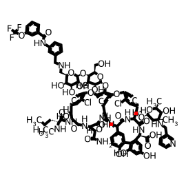 CN[C@H](CC(C)C)C(=O)NC1C(=O)N[C@@H](CC(N)=O)C(=O)N[C@H]2C(=O)N[C@H]3C(=O)N[C@H](C(=O)N[C@@H](C(=O)O)c4cc(O)cc(O)c4-c4cc3ccc4O)[C@H](O[C@H]3C[C@](C)(NCc4cccnc4)[C@@H](O)[C@H](C)O3)c3ccc(c(Cl)c3)Oc3cc2cc(c3O[C@@H]2O[C@H](CO)[C@@H](O[C@@H]3O[C@H](CNCc4cccc(NC(=O)c5cccc(OC(F)(F)F)c5)c4)[C@H](O)[C@H](O)[C@H]3O)[C@H](O)[C@H]2O)Oc2ccc(cc2Cl)[C@H]1O